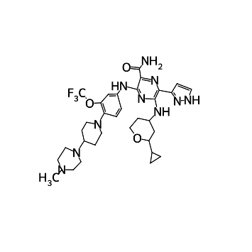 CN1CCN(C2CCN(c3ccc(Nc4nc(NC5CCOC(C6CC6)C5)c(-c5cc[nH]n5)nc4C(N)=O)cc3OC(F)(F)F)CC2)CC1